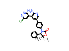 CC1(C)OC(=O)N(c2ccc(-c3cnc(N)c(-c4cnnc(Cl)c4)c3)cc2)C1c1ccccc1